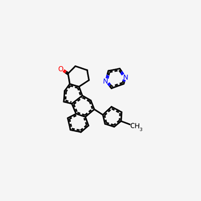 Cc1ccc(-c2cc3c4c(ccc3c3ccccc23)C(=O)CCC4)cc1.c1cnccn1